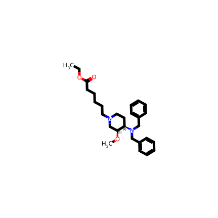 CCOC(=O)CCCCCN1CC[C@@H](N(Cc2ccccc2)Cc2ccccc2)[C@@H](OC)C1